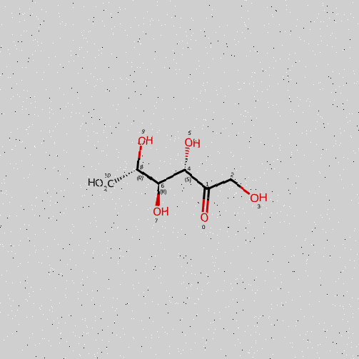 O=C(CO)[C@@H](O)[C@@H](O)[C@@H](O)C(=O)O